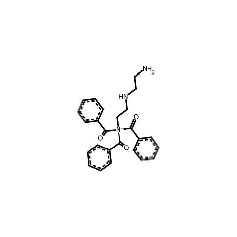 NCCNCC[N+](C(=O)c1ccccc1)(C(=O)c1ccccc1)C(=O)c1ccccc1